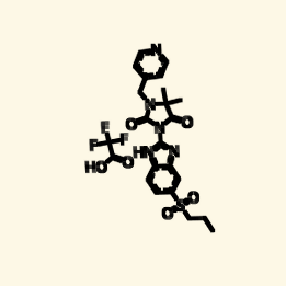 CCCS(=O)(=O)c1ccc2[nH]c(N3C(=O)N(Cc4ccncc4)C(C)(C)C3=O)nc2c1.O=C(O)C(F)(F)F